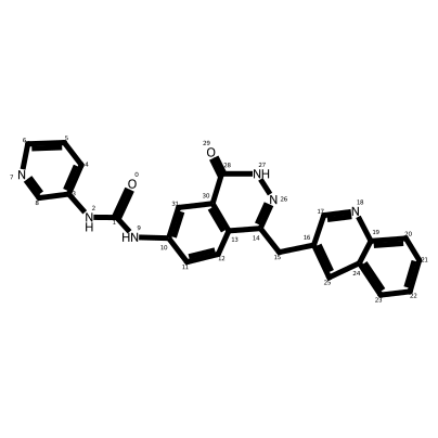 O=C(Nc1cccnc1)Nc1ccc2c(Cc3cnc4ccccc4c3)n[nH]c(=O)c2c1